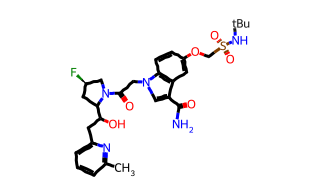 Cc1cccc(CC(O)C2C[C@@H](F)CN2C(=O)Cn2cc(C(N)=O)c3cc(OCS(=O)(=O)NC(C)(C)C)ccc32)n1